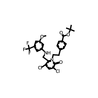 COc1cc(NCc2c(Cl)cc(Cl)c(=O)n2CCc2ccc(C(=O)OC(C)(C)C)cc2)cc(C(F)(F)F)c1